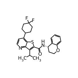 CC(C)c1c(C(=O)N[C@H]2CCOc3ccccc32)sc2c(C3CCC(F)(F)CC3)ccnc12